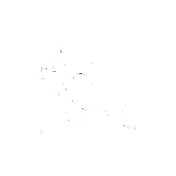 CCOC(=O)c1nnn(C[C@@]2(C)[C@H](C(=O)OCc3ccc([N+](=O)[O-])cc3)N3C(=O)C[C@H]3S2(=O)=O)c1C